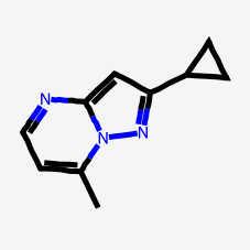 Cc1ccnc2cc(C3CC3)nn12